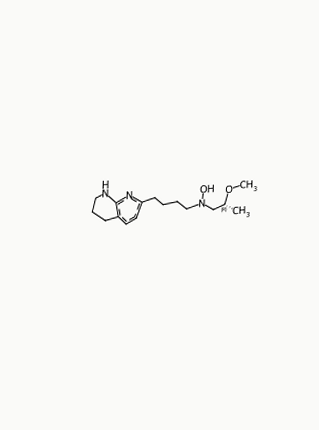 CO[C@H](C)CN(O)CCCCc1ccc2c(n1)NCCC2